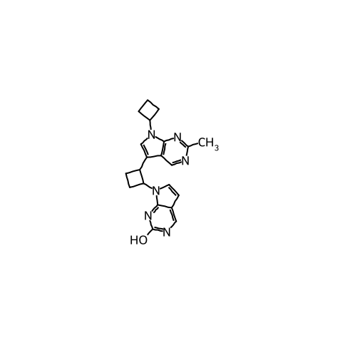 Cc1ncc2c(C3CCC3n3ccc4cnc(O)nc43)cn(C3CCC3)c2n1